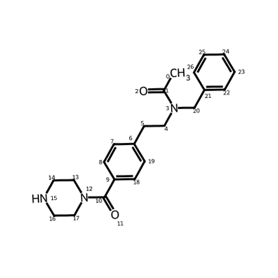 CC(=O)N(CCc1ccc(C(=O)N2CCNCC2)cc1)Cc1ccccc1